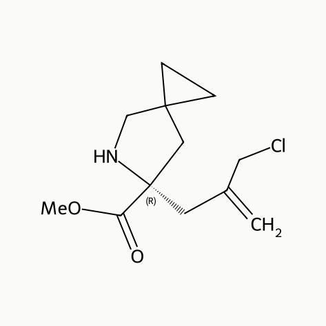 C=C(CCl)C[C@@]1(C(=O)OC)CC2(CC2)CN1